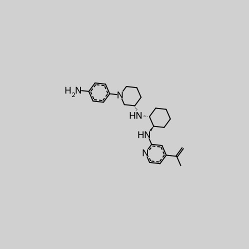 C=C(C)c1ccnc(N[C@@H]2CCCC[C@H]2N[C@H]2CCCN(c3ccc(N)cc3)C2)c1